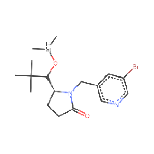 C[SiH](C)OC([C@@H]1CCC(=O)N1Cc1cncc(Br)c1)C(C)(C)C